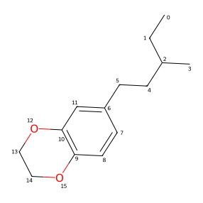 CCC(C)CCc1ccc2c(c1)OCCO2